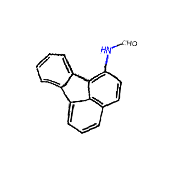 O=[C]Nc1ccc2cccc3c2c1-c1ccccc1-3